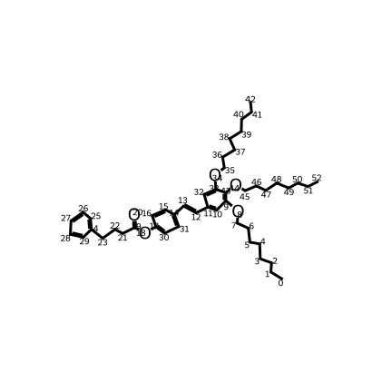 CCCCCCCCOc1cc(C=Cc2ccc(OC(=O)CCCc3ccccc3)cc2)cc(OCCCCCCCC)c1OCCCCCCCC